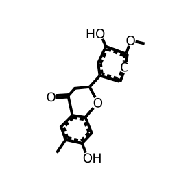 COc1ccc(C2CC(=O)c3cc(C)c(O)cc3O2)cc1O